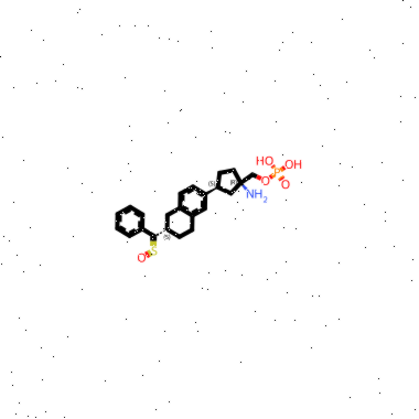 N[C@]1(COP(=O)(O)O)CC[C@H](c2ccc3c(c2)CC[C@H](C(=S=O)c2ccccc2)C3)C1